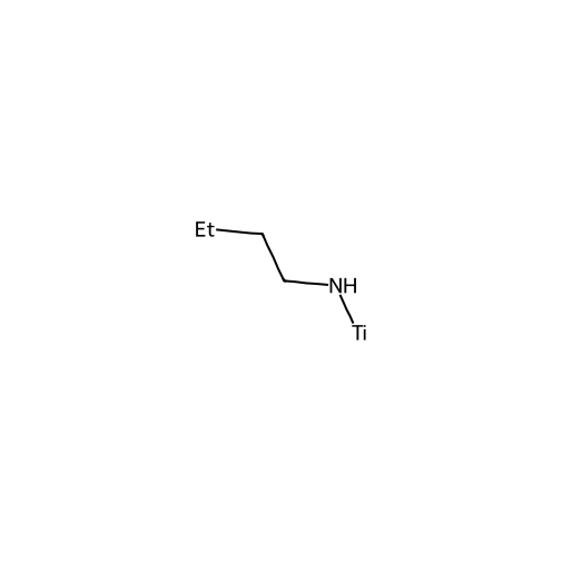 CCCC[NH][Ti]